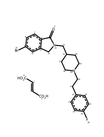 O=C(O)C=CC(=O)O.O=C1c2ccc(Br)cc2CN1CC1CCN(CCc2ccc(F)cc2)CC1